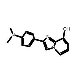 CN(C)c1ccc(-c2cn3cccc(O)c3n2)cc1